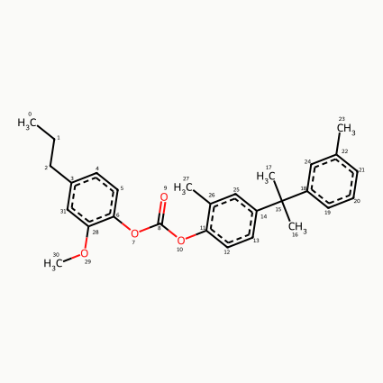 CCCc1ccc(OC(=O)Oc2ccc(C(C)(C)c3cccc(C)c3)cc2C)c(OC)c1